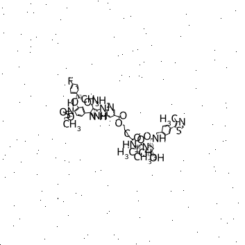 CCS(=O)(=O)Nc1ccc(-c2n[nH]c(Nc3ccc(C(=O)OCCCCC(=O)N[C@H](C(=O)N4C[C@@H](O)C[C@H]4C(=O)NCc4ccc(-c5scnc5C)cc4)C(C)(C)C)cn3)c2C(N)=O)cc1O[C@@H](C)c1ccc(F)cc1